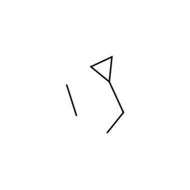 CC.CCC1CC1